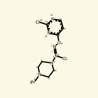 CC(C)N1CCN(/[N+]([O-])=N/Oc2ccnc(Cl)n2)CC1